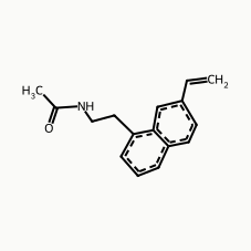 C=Cc1ccc2cccc(CCNC(C)=O)c2c1